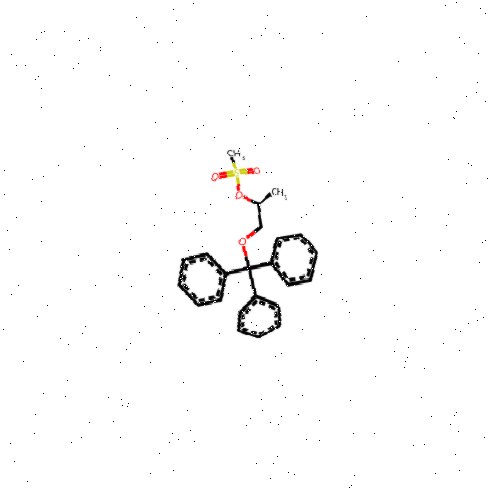 C[C@@H](COC(c1ccccc1)(c1ccccc1)c1ccccc1)OS(C)(=O)=O